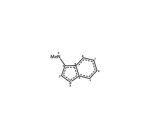 CNc1csc2ccccc12